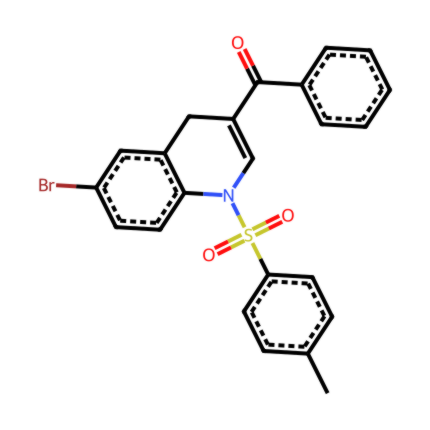 Cc1ccc(S(=O)(=O)N2C=C(C(=O)c3ccccc3)Cc3cc(Br)ccc32)cc1